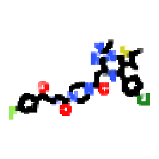 Cc1sc2c(c1C)C(c1ccc(Cl)cc1)=N[C@@H](CC(=O)N1CCN(C(=O)/C=C/C(=O)c3ccc(F)cc3)CC1)c1nnc(C)n1-2